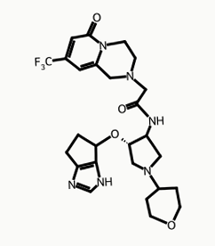 O=C(CN1CCn2c(cc(C(F)(F)F)cc2=O)C1)NC1CN(C2CCOCC2)C[C@@H]1OC1CCc2nc[nH]c21